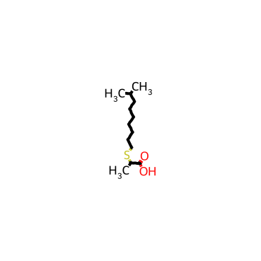 CC(C)CCCCCCCSC(C)C(=O)O